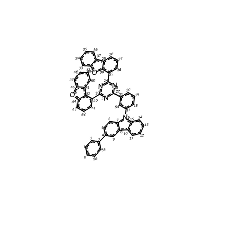 c1ccc(-c2ccc3c(c2)c2ccccc2n3-c2cccc(-c3nc(-c4cccc5c4oc4ccccc45)nc(-c4cccc5oc6ccccc6c45)n3)c2)cc1